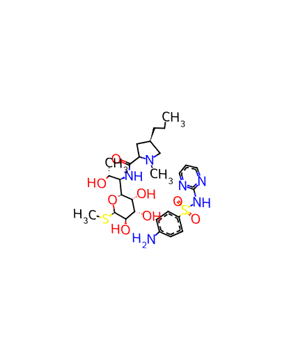 CCC[C@@H]1CC(C(=O)N[C@@H]([C@H]2O[C@H](SC)[C@H](O)[C@@H](O)[C@H]2O)[C@@H](C)O)N(C)C1.Nc1ccc(S(=O)(=O)Nc2ncccn2)cc1